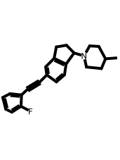 CC1CCN(C2CCc3cc(C#Cc4ccccc4F)ccc32)CC1